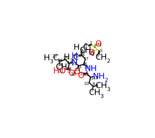 C=CS(=O)(=O)C=C.CC(C)CC(N)C(=O)NC(CC(C)C)C(=O)NC(CC(C)C)C(=O)O